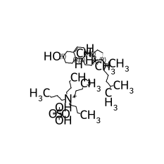 CC(C)CCC[C@@H](C)[C@H]1CC[C@H]2[C@@H]3CC=C4C[C@@H](O)CC[C@]4(C)[C@H]3CC[C@]12C.CCCC[N+](CCCC)(CCCC)CCCC.O=S(=O)(O)O